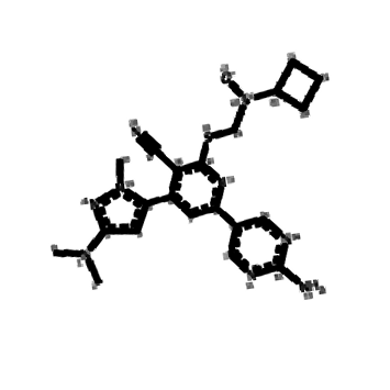 CN(C)c1cc(-c2cc(-c3cnc(N)nc3)nc(SC[S+]([O-])C3CCC3)c2C#N)n(C)n1